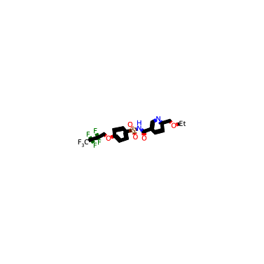 CCOCc1ccc(C(=O)NS(=O)(=O)c2ccc(OCC(F)(F)C(F)(F)C(F)(F)F)cc2)cn1